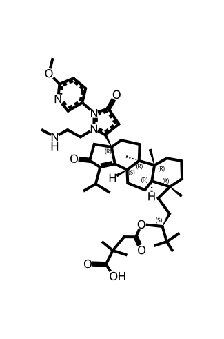 CNCCn1c([C@@]23CC[C@]4(C)[C@H](CC[C@@H]5[C@@](C)(CC[C@H](OC(=O)CC(C)(C)C(=O)O)C(C)(C)C)CCC[C@]54C)C2=C(C(C)C)C(=O)C3)cc(=O)n1-c1ccc(OC)nc1